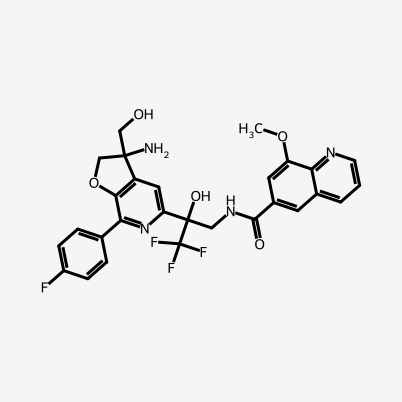 COc1cc(C(=O)NCC(O)(c2cc3c(c(-c4ccc(F)cc4)n2)OCC3(N)CO)C(F)(F)F)cc2cccnc12